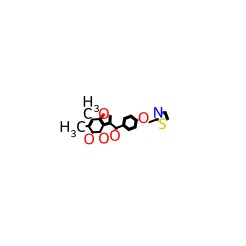 CC1=C(C)c2occ(C(=O)c3ccc(OCc4nccs4)cc3)c2C(=O)C1=O